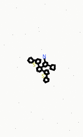 N#Cc1cc(-c2ccccc2)cc(-c2c(-c3cccc4c3sc3ccccc34)cccc2-c2cccc3c2sc2ccccc23)c1